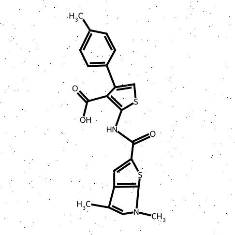 Cc1ccc(-c2csc(NC(=O)c3cc4c(C)cn(C)c4s3)c2C(=O)O)cc1